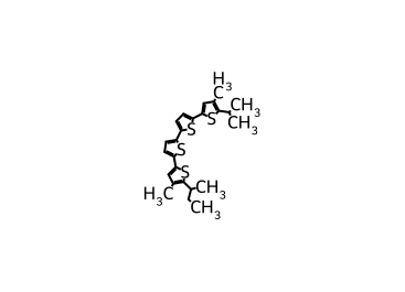 CCC(C)c1sc(-c2ccc(-c3ccc(-c4cc(C)c(C(C)C)s4)s3)s2)cc1C